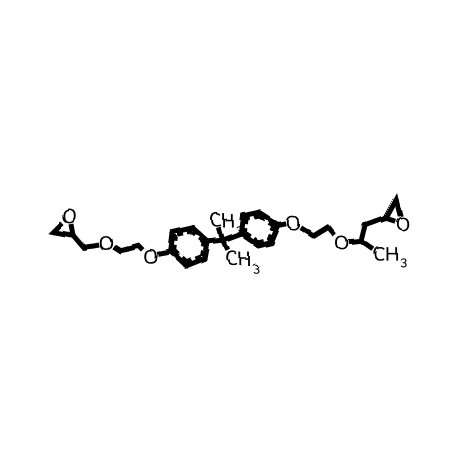 CC(CC1CO1)OCCOc1ccc(C(C)(C)c2ccc(OCCOCC3CO3)cc2)cc1